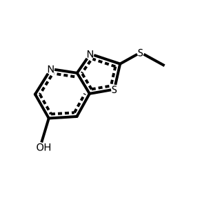 CSc1nc2ncc(O)cc2s1